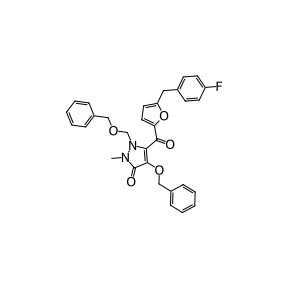 Cn1c(=O)c(OCc2ccccc2)c(C(=O)c2ccc(Cc3ccc(F)cc3)o2)n1COCc1ccccc1